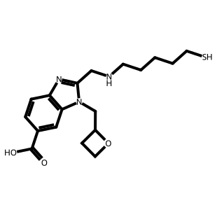 O=C(O)c1ccc2nc(CNCCCCCS)n(CC3CCO3)c2c1